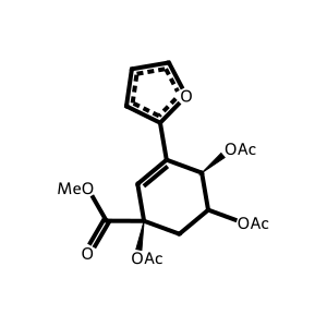 COC(=O)[C@]1(OC(C)=O)C=C(c2ccco2)[C@@H](OC(C)=O)C(OC(C)=O)C1